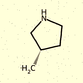 [CH2][C@H]1CCNC1